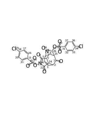 O=C1C2C=CC3C(C4C(=O)N(OS(=O)(=O)c5ccc(Cl)cc5)C(=O)C24)C1C(OS(=O)(=O)c1ccc(Cl)cc1)[N+]3=O